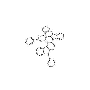 c1ccc(-c2cc(-c3c(-n4c5ccccc5c5ccccc54)ccc4c3c3ccccc3n4-c3ccccc3)nc(-c3ccccc3)n2)cc1